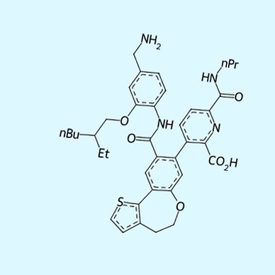 CCCCC(CC)COc1cc(CN)ccc1NC(=O)c1cc2c(cc1-c1ccc(C(=O)NCCC)nc1C(=O)O)OCCc1ccsc1-2